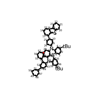 CC(C)(C)c1ccc2c(c1)N(c1ccc(-c3cccc4c3sc3ccccc34)cc1)c1cccc3c1B2c1ccc(C(C)(C)C)cc1N3c1ccc(-c2ccccc2)cc1-c1ccccc1